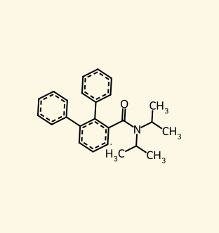 CC(C)N(C(=O)c1[c]ccc(-c2ccccc2)c1-c1ccccc1)C(C)C